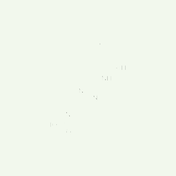 COC[C@H](C)NCc1ncc2c(n1)CCN(C(=O)O)C2